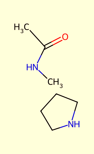 C1CCNC1.CNC(C)=O